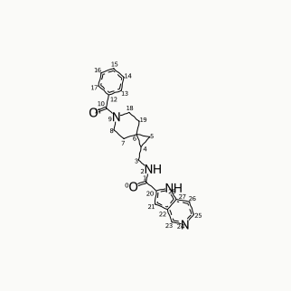 O=C(NCC1CC12CCN(C(=O)c1ccccc1)CC2)c1cc2cnccc2[nH]1